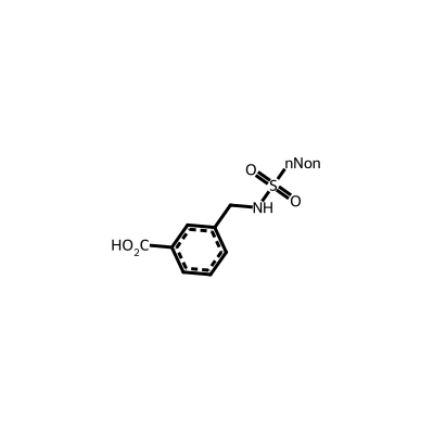 CCCCCCCCCS(=O)(=O)NCc1cccc(C(=O)O)c1